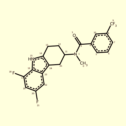 CN(C(=O)c1cccc(C(F)(F)F)c1)C1CCc2[nH]c3c(F)cc(F)cc3c2C1